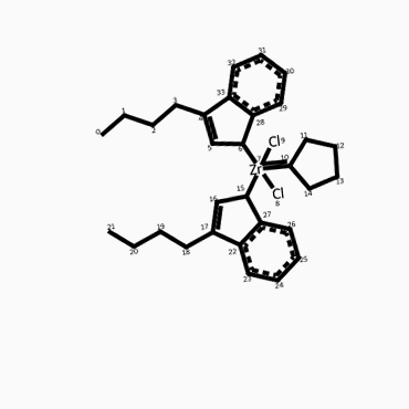 CCCCC1=C[CH]([Zr]([Cl])([Cl])(=[C]2CCCC2)[CH]2C=C(CCCC)c3ccccc32)c2ccccc21